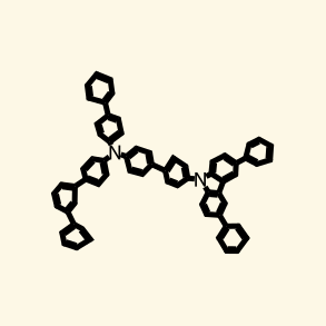 c1ccc(-c2ccc(N(c3ccc(-c4ccc(-n5c6ccc(-c7ccccc7)cc6c6cc(-c7ccccc7)ccc65)cc4)cc3)c3ccc(-c4cccc(-c5ccccc5)c4)cc3)cc2)cc1